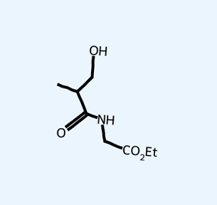 CCOC(=O)CNC(=O)C(C)CO